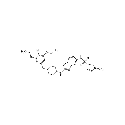 CCOc1cc(CN2CCC(Nc3nc4cc(NS(=O)(=O)c5cn(C)cn5)ccc4o3)CC2)cc(OCC)c1N